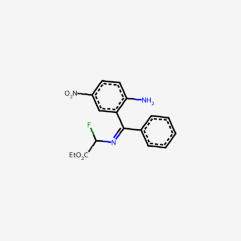 CCOC(=O)C(F)N=C(c1ccccc1)c1cc([N+](=O)[O-])ccc1N